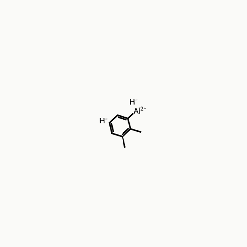 Cc1ccc[c]([Al+2])c1C.[H-].[H-]